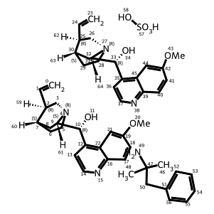 C=C[C@H]1C[N@]2CC[C@H]1C[C@H]2[C@H](O)c1ccnc2ccc(OC)cc12.C=C[C@H]1C[N@]2CC[C@H]1C[C@H]2[C@H](O)c1ccnc2ccc(OC)cc12.CC(C)(N)Cc1ccccc1.O=S(=O)(O)O